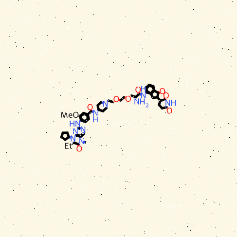 CC[C@@H]1C(=O)N(C)c2cnc(Nc3ccc(C(=O)NC4CCN(CCOCCOC[C@@H](N)C(=O)Nc5cccc6c5CC(C5CCC(=O)NC5=O)C6=O)CC4)cc3OC)nc2N1C1CCCC1